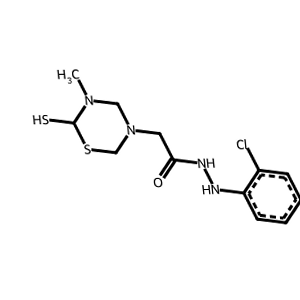 CN1CN(CC(=O)NNc2ccccc2Cl)CSC1S